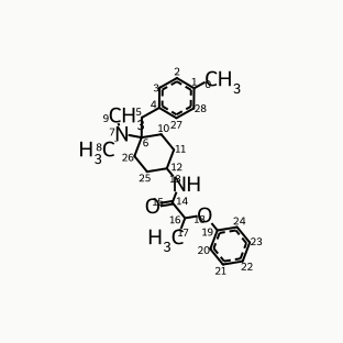 Cc1ccc(CC2(N(C)C)CCC(NC(=O)C(C)Oc3ccccc3)CC2)cc1